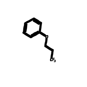 FC(F)(F)CCOc1c[c]ccc1